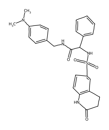 CN(C)c1ccc(CNC(=O)C(NS(=O)(=O)c2ccc3c(c2)CCC(=O)N3)c2ccccc2)cc1